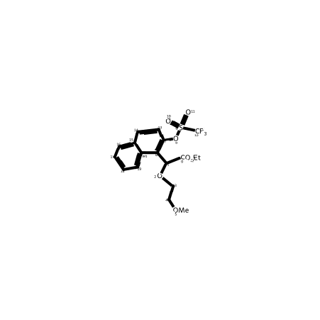 CCOC(=O)C(OCCOC)c1c(OS(=O)(=O)C(F)(F)F)ccc2ccccc12